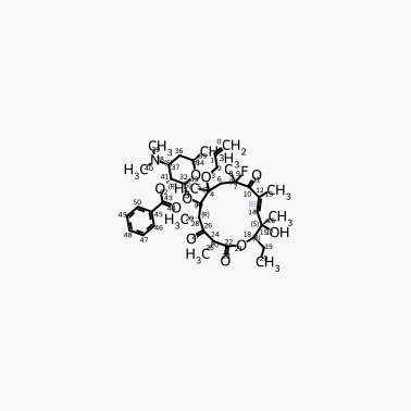 C=CCO[C@]1(C)C[C@](C)(F)C(=O)/C(C)=C/[C@](C)(O)[C@@H](CC)OC(=O)[C@H](C)C(=O)[C@H](C)[C@H]1O[C@@H]1O[C@H](C)C[C@H](N(C)C)[C@H]1OC(=O)c1ccccc1